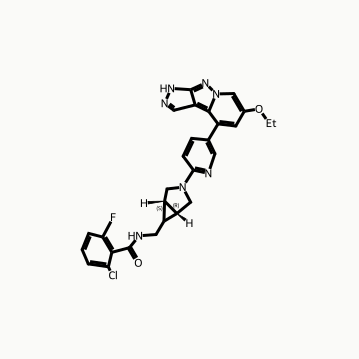 CCOc1cc(-c2ccc(N3C[C@@H]4C(CNC(=O)c5c(F)cccc5Cl)[C@@H]4C3)nc2)c2c3cn[nH]c3nn2c1